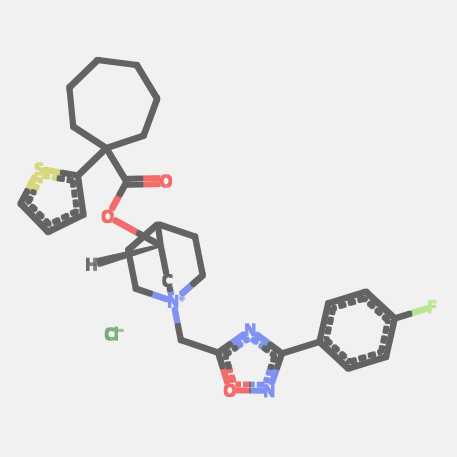 O=C(O[C@H]1C[N+]2(Cc3nc(-c4ccc(F)cc4)no3)CCC1CC2)C1(c2cccs2)CCCCCC1.[Cl-]